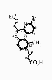 CCOCC(Sc1ccc(OCC(=O)O)c(C)c1)c1cccc(Br)n1